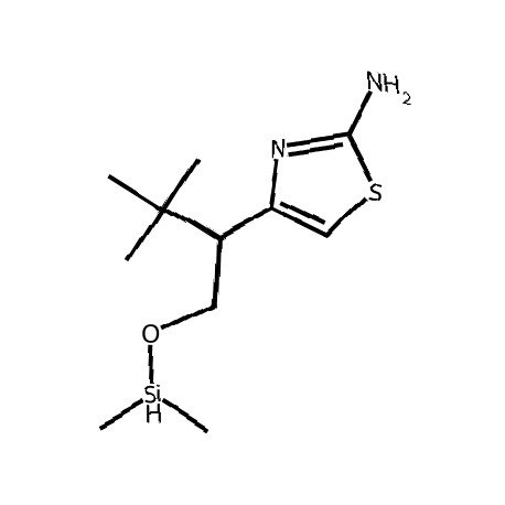 C[SiH](C)OCC(c1csc(N)n1)C(C)(C)C